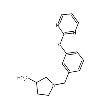 O=C(O)C1CCN(Cc2cccc(Oc3ncccn3)c2)C1